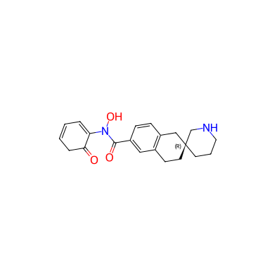 O=C1CC=CC=C1N(O)C(=O)c1ccc2c(c1)CC[C@@]1(CCCNC1)C2